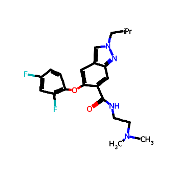 CC(C)Cn1cc2cc(Oc3ccc(F)cc3F)c(C(=O)NCCN(C)C)cc2n1